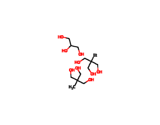 CC(CO)(CO)CO.CCC(CO)(CO)CO.OCC(O)CO